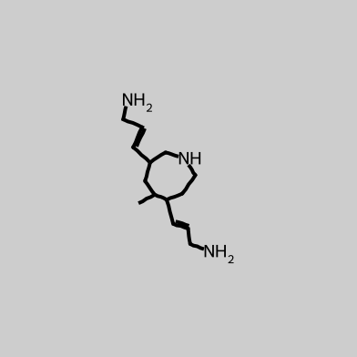 CC1CC(/C=C/CN)CNCCC1/C=C/CN